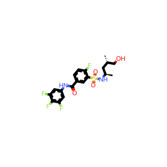 C[C@H](CO)C[C@@H](C)NS(=O)(=O)c1cc(C(=O)Nc2cc(F)c(F)c(F)c2)ccc1F